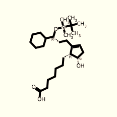 CC(C)(C)[Si](C)(C)O[C@H](CCC1=CC[C@H](O)[C@@H]1CCCCCCC(=O)O)C1CCCCC1